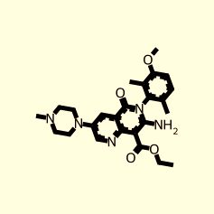 CCOC(=O)c1c(N)n(-c2c(C)ccc(OC)c2C)c(=O)c2cc(N3CCN(C)CC3)cnc12